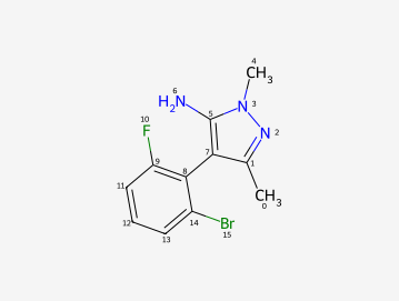 Cc1nn(C)c(N)c1-c1c(F)cccc1Br